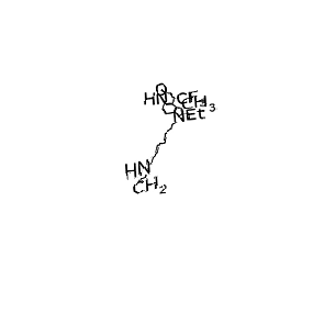 C=CCNCCCCCCCCCn1c(CC)c(C)c2c3c(C(F)(F)F)cc(=O)[nH]c3ccc21